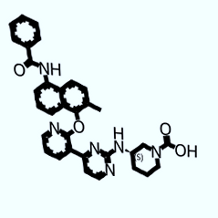 Cc1ccc2c(NC(=O)c3ccccc3)cccc2c1Oc1ncccc1-c1ccnc(N[C@H]2CCCN(C(=O)O)C2)n1